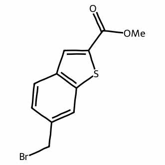 COC(=O)c1cc2ccc(CBr)cc2s1